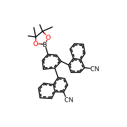 CC1(C)OB(c2ccc(-c3ccc(C#N)c4ccccc34)c(-c3ccc(C#N)c4ccccc34)c2)OC1(C)C